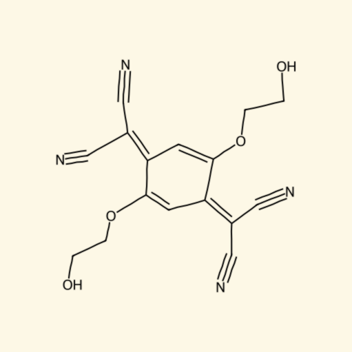 N#CC(C#N)=c1cc(OCCO)c(=C(C#N)C#N)cc1OCCO